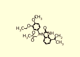 C=C(C)c1cccc2c1[nH]c(=O)n2[C@H](CS(C)(=O)=O)c1ccc(OC)c(OCC)c1